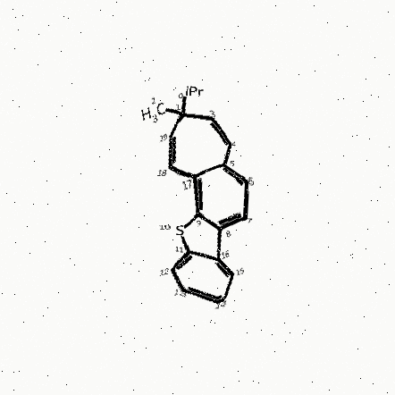 CC(C)C1(C)C=Cc2ccc3c(sc4ccccc43)c2C=C1